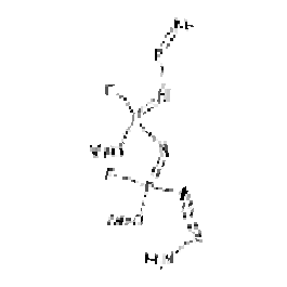 COP(F)(=NP=N)N=P(F)(/N=P\N)OC